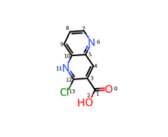 O=C(O)c1cc2ncccc2nc1Cl